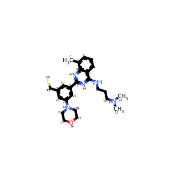 Cc1cccc2c(NCCCN(C)C)nc(-c3cc(CF)cc(N4CCOCC4)c3)nc12